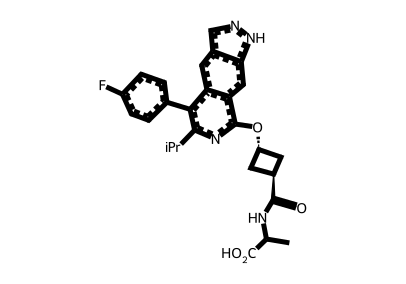 CC(NC(=O)[C@H]1C[C@H](Oc2nc(C(C)C)c(-c3ccc(F)cc3)c3cc4cn[nH]c4cc23)C1)C(=O)O